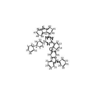 c1ccc(-c2ccc(-c3nc(-c4cccc5c4oc4cc6c7ccccc7n(-c7ccccc7)c6cc45)nc(-c4cccc5sc6ccccc6c45)n3)cc2)cc1